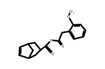 O=C(Cc1ccccc1OC(F)(F)F)OC(=O)C1CC2C=CC(C2)C1